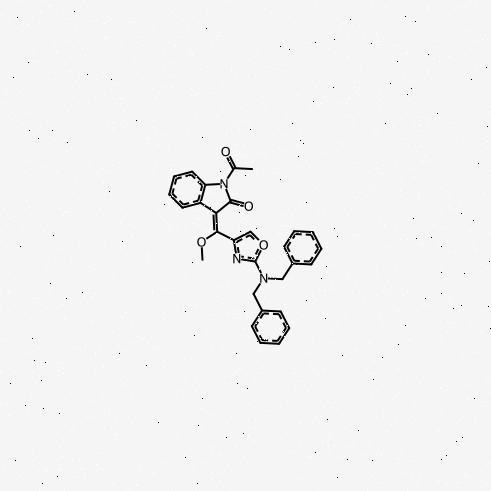 COC(=C1C(=O)N(C(C)=O)c2ccccc21)c1coc(N(Cc2ccccc2)Cc2ccccc2)n1